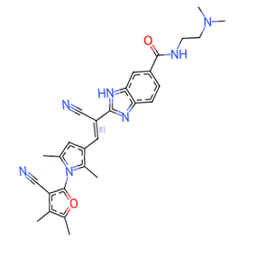 Cc1oc(-n2c(C)cc(/C=C(\C#N)c3nc4ccc(C(=O)NCCN(C)C)cc4[nH]3)c2C)c(C#N)c1C